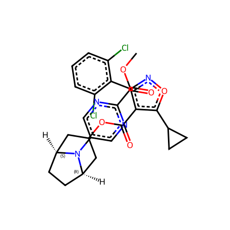 COC(=O)c1ncc(N2[C@@H]3CC[C@H]2CC(OC(=O)c2c(-c4c(Cl)cccc4Cl)noc2C2CC2)C3)cn1